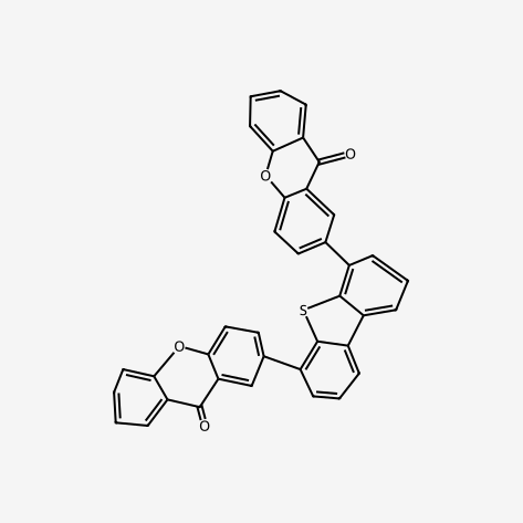 O=c1c2ccccc2oc2ccc(-c3cccc4c3sc3c(-c5ccc6oc7ccccc7c(=O)c6c5)cccc34)cc12